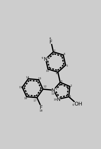 Oc1cc(-c2ccc(F)nc2)n(-c2ccccc2F)n1